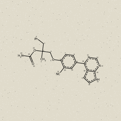 CC(C)CC(C)(COc1ccc(-c2ncnc3[nH]ccc23)cc1C#N)OC(N)=O